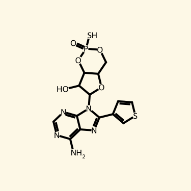 Nc1ncnc2c1nc(-c1ccsc1)n2C1OC2COP(=O)(S)OC2C1O